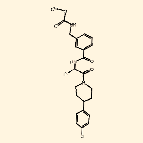 CC(C)[C@@H](NC(=O)c1cccc(CNC(=O)OC(C)(C)C)c1)C(=O)N1CCC(c2ccc(Cl)cc2)CC1